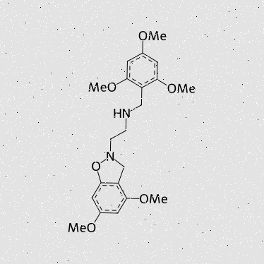 COc1cc(OC)c(CNCCN2Cc3c(OC)cc(OC)cc3O2)c(OC)c1